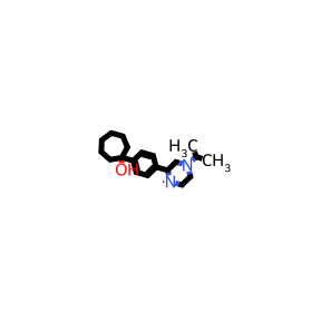 CC(C)N1CC[N]C(c2ccc(C3(O)CCCCCC3)cc2)C1